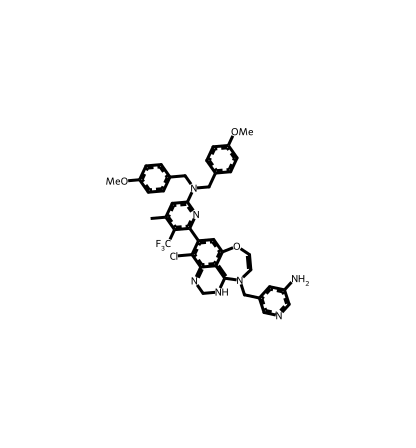 COc1ccc(CN(Cc2ccc(OC)cc2)c2cc(C)c(C(F)(F)F)c(-c3cc4c5c(c3Cl)=NCNC=5N(Cc3cncc(N)c3)C=CO4)n2)cc1